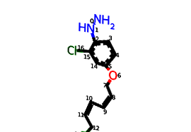 NNc1ccc(OC/C=C\C=C/CF)cc1Cl